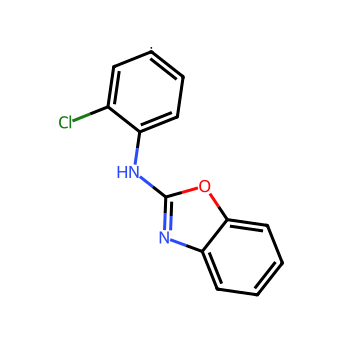 Clc1c[c]ccc1Nc1nc2ccccc2o1